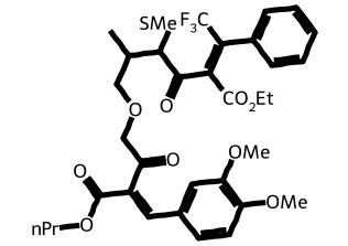 CCCOC(=O)C(=Cc1ccc(OC)c(OC)c1)C(=O)COCC(C)C(SC)C(=O)C(C(=O)OCC)=C(c1ccccc1)C(F)(F)F